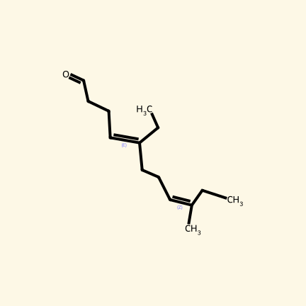 CC/C(C)=C\CC/C(=C/CCC=O)CC